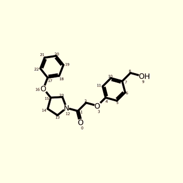 O=C(COc1ccc(CO)cc1)N1CCC(Oc2ccccc2)C1